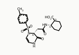 Cc1ccc(S(=O)(=O)N2C=CNC(=O)[C@H]2CC(=O)N[C@H]2CCCC[C@@H]2C(=O)O)cc1